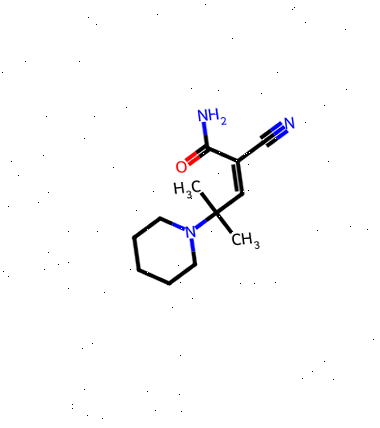 CC(C)(C=C(C#N)C(N)=O)N1CCCCC1